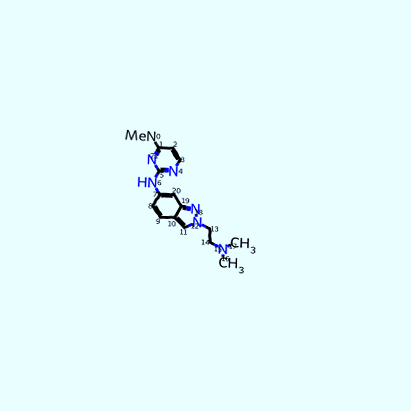 CNc1ccnc(Nc2ccc3cn(CCN(C)C)nc3c2)n1